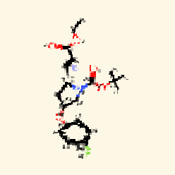 CCOC(=O)/C=C/[C@@H]1C[C@H](Oc2ccc(F)cc2)CN1C(=O)OC(C)(C)C